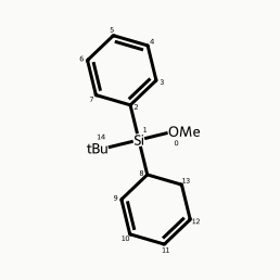 CO[Si](c1ccccc1)(C1C=CC=CC1)C(C)(C)C